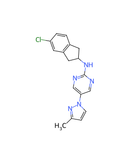 Cc1ccn(-c2cnc(NC3Cc4ccc(Cl)cc4C3)nc2)n1